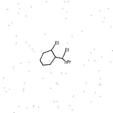 [CH2]CCC(CC)[C]1CCCCC1CC